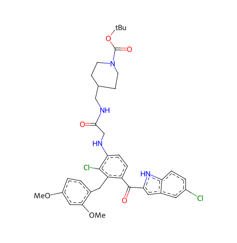 COc1ccc(Cc2c(C(=O)c3cc4cc(Cl)ccc4[nH]3)ccc(NCC(=O)NCC3CCN(C(=O)OC(C)(C)C)CC3)c2Cl)c(OC)c1